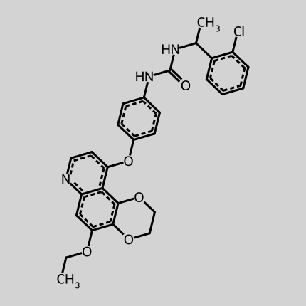 CCOc1cc2nccc(Oc3ccc(NC(=O)NC(C)c4ccccc4Cl)cc3)c2c2c1OCCO2